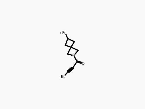 CCC#CC(=O)N1CC2(CC(CCC)C2)C1